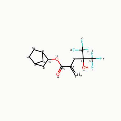 C=C(CC(O)(C(F)(F)F)C(F)(F)F)C(=O)OC1CC2CCC1C2